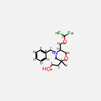 CC1(CCO)CN(Cc2ccccc2)C(COC(F)F)CO1